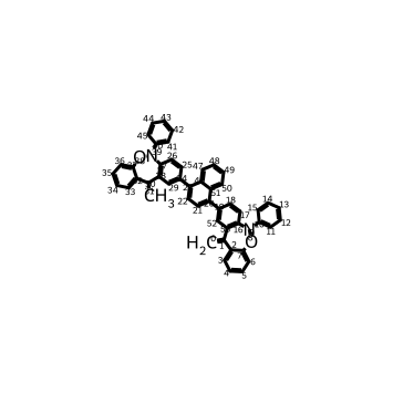 C=C1c2ccccc2ON(c2ccccc2)c2ccc(-c3ccc(-c4ccc5c(c4)C(C)c4ccccc4ON5c4ccccc4)c4ccccc34)cc21